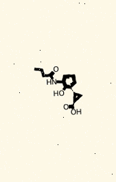 CCCC(=O)Nc1cccc([C@@H]2C[C@H]2C(=O)O)c1O